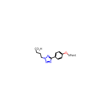 CCCCCOc1ccc(-c2nnn(CCCC(=O)O)n2)cc1